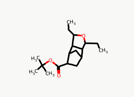 CCC1OC(CC)C2C3CC(CC3C(=O)OC(C)(C)C)C12